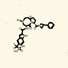 CC(=O)N1CC[C@H]2CC[C@@H](C(=O)N3CC(c4ccccc4)C3)N2C(=O)[C@@H](NC(=O)c2cc3cc(C(F)(F)P(=O)(O)O)ccc3[nH]2)C1